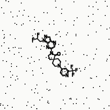 O=C1N(c2cnc3cnn(CC(F)F)c3n2)CCC12CCN(c1ccnc(C(F)(F)F)c1)CC2